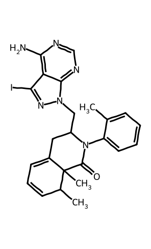 Cc1ccccc1N1C(=O)C2(C)C(=CC=CC2C)CC1Cn1nc(I)c2c(N)ncnc21